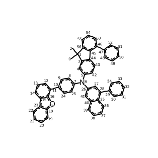 CC1(C)c2cc(N(c3ccc(-c4cccc5c4oc4ccccc45)cc3)c3cc(-c4ccccc4)c4ccccc4c3)ccc2-c2c(-c3ccccc3)cccc21